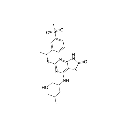 CC(C)C[C@H](CO)Nc1nc(SC(C)c2cccc(S(C)(=O)=O)c2)nc2[nH]c(=O)sc12